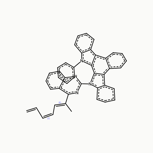 C=C/C=C\C=C(/C)c1nc(-n2c3ccccc3c3c4ccccc4c4c5ccccc5n(-c5ccccc5)c4c32)nc2ccccc12